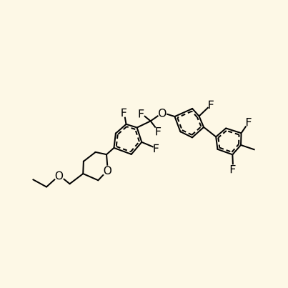 CCOCC1CCC(c2cc(F)c(C(F)(F)Oc3ccc(-c4cc(F)c(C)c(F)c4)c(F)c3)c(F)c2)OC1